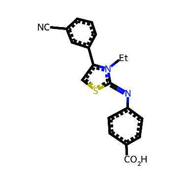 CCn1c(-c2cccc(C#N)c2)csc1=Nc1ccc(C(=O)O)cc1